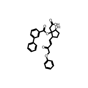 O=C(O)CC1(OC(=O)c2cccc(-c3ccccc3)c2)C(O)CCC1C=CC(=O)COc1ccccc1